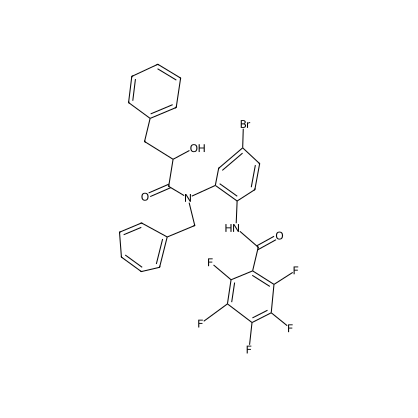 O=C(Nc1ccc(Br)cc1N(Cc1ccccc1)C(=O)C(O)Cc1ccccc1)c1c(F)c(F)c(F)c(F)c1F